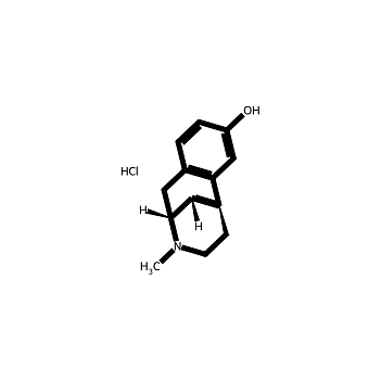 CN1CC[C@]23CCCC[C@H]2[C@H]1Cc1ccc(O)cc13.Cl